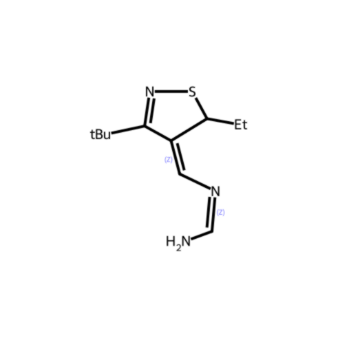 CCC1SN=C(C(C)(C)C)/C1=C/N=C\N